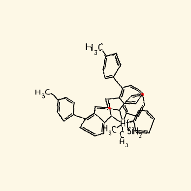 Cc1ccc(-c2cccc3c2C=C[CH]3[Hf]([CH3])([CH3])(=[SiH2])([c]2ccccc2)([c]2ccccc2)[CH]2C=Cc3c(-c4ccc(C)cc4)cccc32)cc1